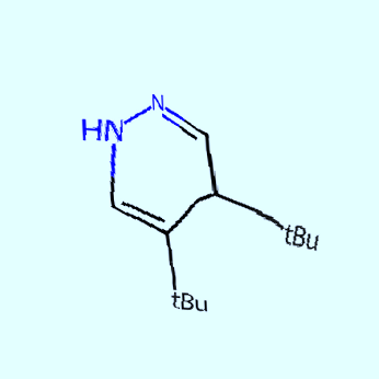 CC(C)(C)C1=CNN=CC1C(C)(C)C